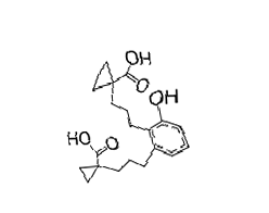 O=C(O)C1(CCCc2cccc(O)c2CCCC2(C(=O)O)CC2)CC1